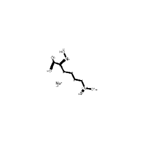 O=C([O-])C(CCCC[N+](=O)[O-])=NO.[Na+]